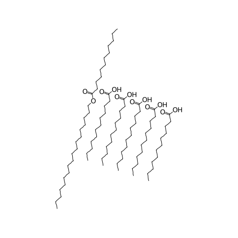 CCCCCCCCCCCC(=O)O.CCCCCCCCCCCC(=O)O.CCCCCCCCCCCC(=O)O.CCCCCCCCCCCC(=O)O.CCCCCCCCCCCC(=O)O.CCCCCCCCCCCCCCCCCCOC(=O)CCCCCCCCCCC